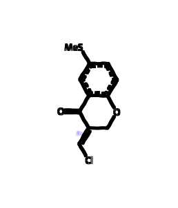 CSc1ccc2c(c1)C(=O)/C(=C/Cl)CO2